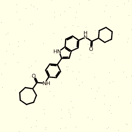 O=C(Nc1ccc(-c2cc3cc(NC(=O)C4CCCCC4)ccc3[nH]2)cc1)C1CCCCCC1